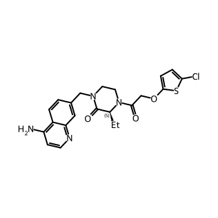 CC[C@H]1C(=O)N(Cc2ccc3c(N)ccnc3c2)CCN1C(=O)COc1ccc(Cl)s1